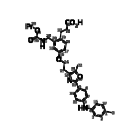 Cc1ccc(Nc2ccc(-c3nc(CCOc4ccc(CCC(=O)O)c(CNC(=O)OC(C)C)c4)c(C)o3)cc2)cc1